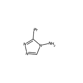 CC(C)c1nncn1N